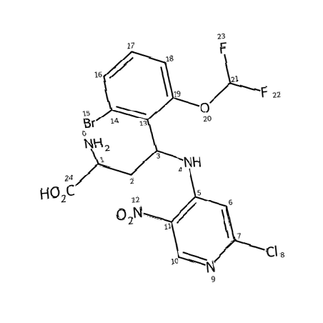 NC(CC(Nc1cc(Cl)ncc1[N+](=O)[O-])c1c(Br)cccc1OC(F)F)C(=O)O